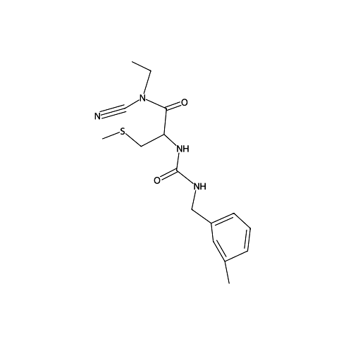 CCN(C#N)C(=O)C(CSC)NC(=O)NCc1cccc(C)c1